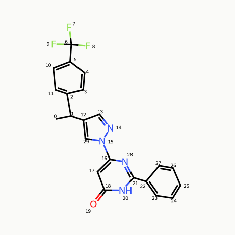 CC(c1ccc(C(F)(F)F)cc1)c1cnn(-c2cc(=O)[nH]c(-c3ccccc3)n2)c1